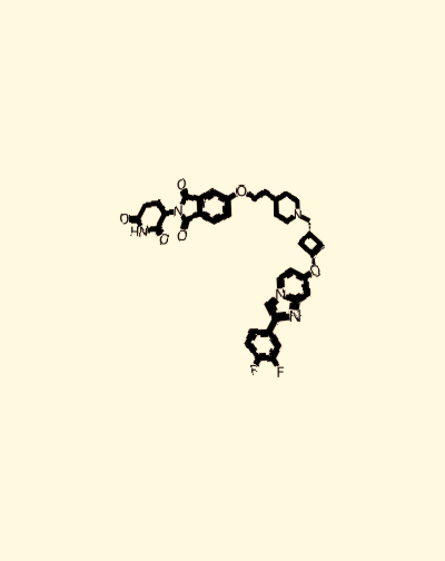 O=C1CCC(N2C(=O)c3ccc(OCCC4CCN(C[C@H]5C[C@H](Oc6ccn7cc(-c8ccc(F)c(F)c8)nc7c6)C5)CC4)cc3C2=O)C(=O)N1